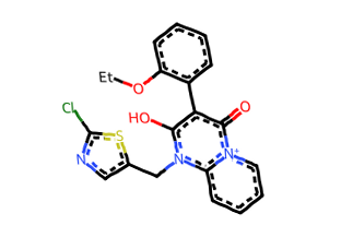 CCOc1ccccc1-c1c(O)n(Cc2cnc(Cl)s2)c2cccc[n+]2c1=O